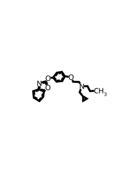 CCCN(CCOc1ccc(Oc2nc3ccccc3o2)cc1)CC1CC1